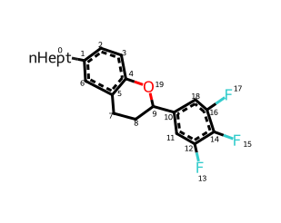 CCCCCCCc1ccc2c(c1)CCC(c1cc(F)c(F)c(F)c1)O2